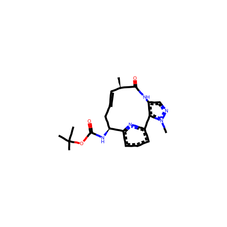 C[C@@H]1/C=C/C[C@H](NC(=O)OC(C)(C)C)c2cccc(n2)-c2c(cnn2C)NC1=O